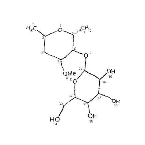 COC1CC(C)O[C@H](C)C1OC1OC(CO)C(O)C(O)C1O